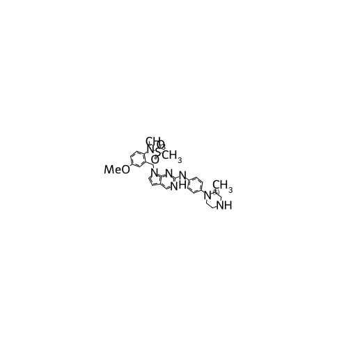 COc1ccc(N(C)S(C)(=O)=O)c(Cn2ccc3cnc(Nc4ccc(N5CCNC[C@@H]5C)cc4)nc32)c1